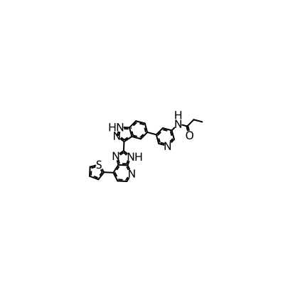 CCC(=O)Nc1cncc(-c2ccc3[nH]nc(-c4nc5c(-c6cccs6)ccnc5[nH]4)c3c2)c1